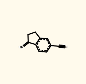 N#Cc1ccc2c(c1)CCC2=N